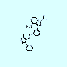 Cc1onc(-c2ccccc2)c1COc1cccc(-c2nc(C3CCC3)n3ccnc(N)c23)c1